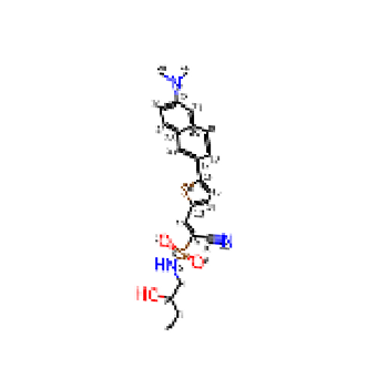 CCC(O)CNS(=O)(=O)/C(C#N)=C/c1ccc(-c2ccc3cc(N(C)C)ccc3c2)s1